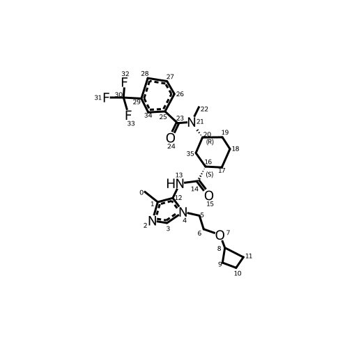 Cc1ncn(CCOC2CCC2)c1NC(=O)[C@H]1CCC[C@@H](N(C)C(=O)c2cccc(C(F)(F)F)c2)C1